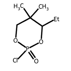 CCC1OP(=O)(Cl)OCC1(C)C